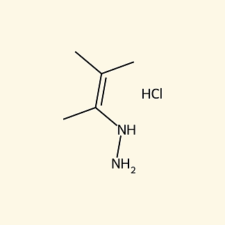 CC(C)=C(C)NN.Cl